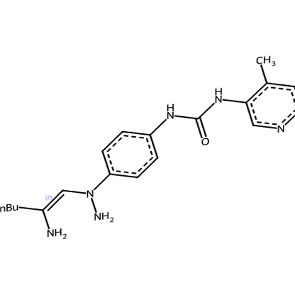 CCCC/C(N)=C/N(N)c1ccc(NC(=O)Nc2cnccc2C)cc1